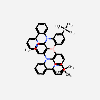 Cc1cc2c3c(c1)N(c1ccccc1-c1ccccn1)c1cc([Si](C)(C)C)ccc1B3c1ccc([Si](C)(C)C)cc1N2c1ccccc1-c1ccccn1